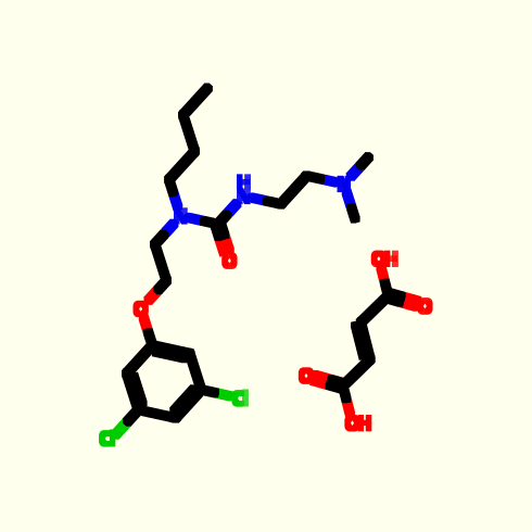 CCCCN(CCOc1cc(Cl)cc(Cl)c1)C(=O)NCCN(C)C.O=C(O)C=CC(=O)O